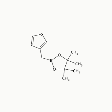 CC1(C)OB(Cc2ccsc2)OC1(C)C